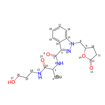 CC(C)(C)C(NC(=O)c1nn(CC2CCC(=O)O2)c2ccccc12)C(=O)NCCCO